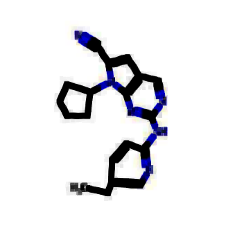 CCc1ccc(Nc2ncc3cc(C#N)n(C4CCCC4)c3n2)nc1